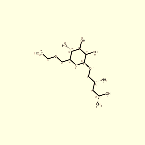 C[C@@H](O)C[C@@H](N)CO[C@H]1OC(CSCC(=O)O)[C@H](O)C(O)C1O